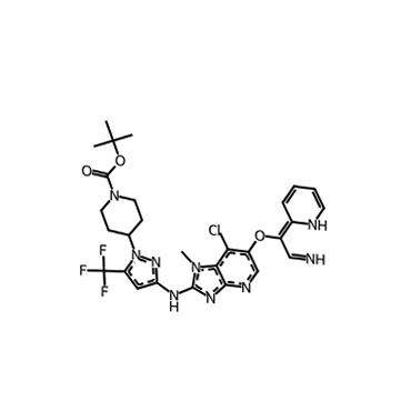 Cn1c(Nc2cc(C(F)(F)F)n(C3CCN(C(=O)OC(C)(C)C)CC3)n2)nc2ncc(O/C(C=N)=C3\C=CC=CN3)c(Cl)c21